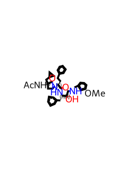 COc1cccc(CNC[C@H](O)[C@H](Cc2ccccc2)NC(=O)[C@H](CCc2ccccc2)N2CC[C@@](CC3CC3)(NC(C)=O)C2=O)c1